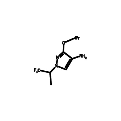 CC(C)Oc1nn(C(C)C(F)(F)F)cc1N